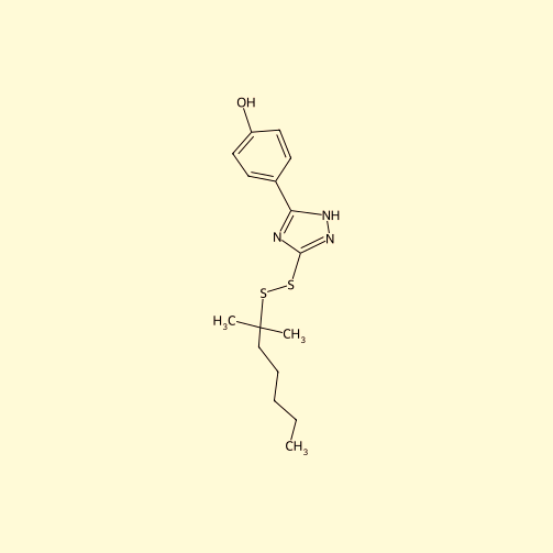 CCCCCC(C)(C)SSc1n[nH]c(-c2ccc(O)cc2)n1